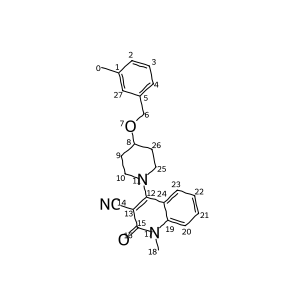 Cc1cccc(COC2CCN(c3c(C#N)c(=O)n(C)c4ccccc34)CC2)c1